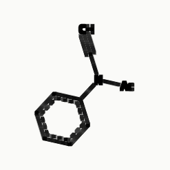 C#CN(C(C)=O)c1ccccc1